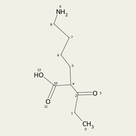 CCC(=O)C(CCCCN)C(=O)O